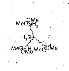 COC(OC)[SiH2]CCCCCCC([SiH3])(CCCCCC[SiH2]C(OC)OC)CCCCCC[SiH2]C(OC)OC